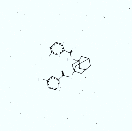 Cc1cccc(C(=O)NC23CC4CC(CC(NC(=O)c5cc(Br)ccn5)(C4)C2)C3)n1